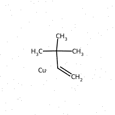 C=CC(C)(C)C.[Cu]